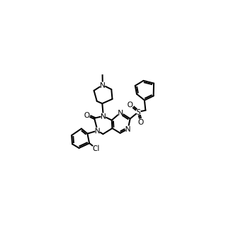 CN1CCC(N2C(=O)N(c3ccccc3Cl)Cc3cnc(S(=O)(=O)Cc4ccccc4)nc32)CC1